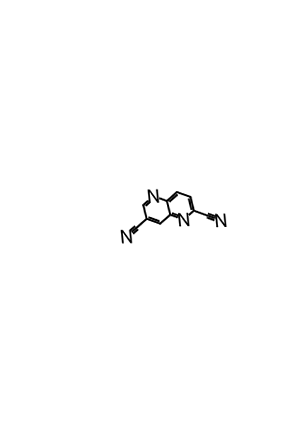 N#Cc1cnc2ccc(C#N)nc2c1